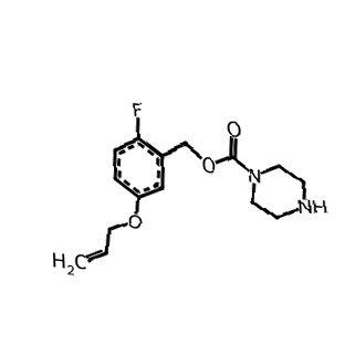 C=CCOc1ccc(F)c(COC(=O)N2CCNCC2)c1